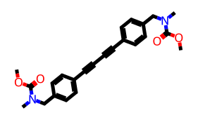 COC(=O)N(C)Cc1ccc(C#CC#Cc2ccc(CN(C)C(=O)OC)cc2)cc1